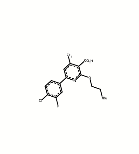 CC(C)(C)CCOc1nc(-c2ccc(Cl)c(F)c2)cc(C(F)(F)F)c1C(=O)O